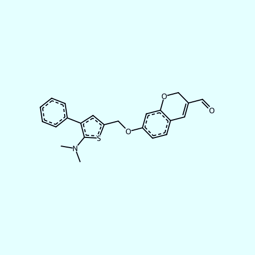 CN(C)c1sc(COc2ccc3c(c2)OCC(C=O)=C3)cc1-c1ccccc1